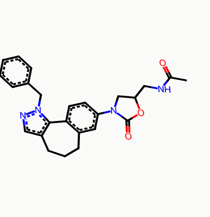 CC(=O)NCC1CN(c2ccc3c(c2)CCCc2cnn(Cc4ccccc4)c2-3)C(=O)O1